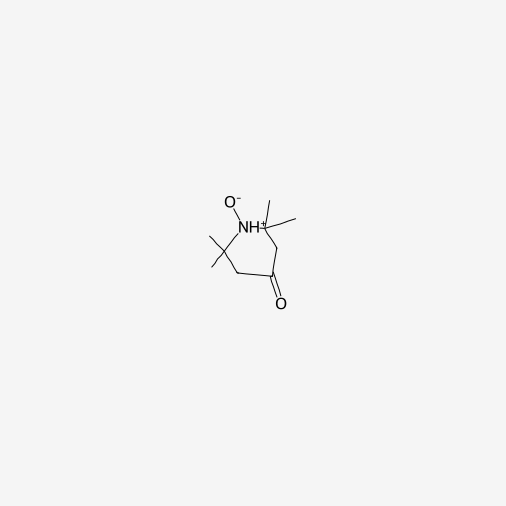 CC1(C)CC(=O)CC(C)(C)[NH+]1[O-]